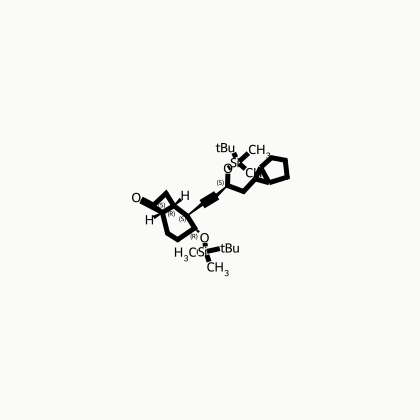 CC(C)(C)[Si](C)(C)O[C@H](C#C[C@@H]1[C@H]2CC(=O)[C@H]2CC[C@H]1O[Si](C)(C)C(C)(C)C)CC1C2CCCC21